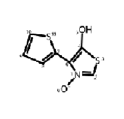 [O-][n+]1[c]sc(O)c1-c1cccs1